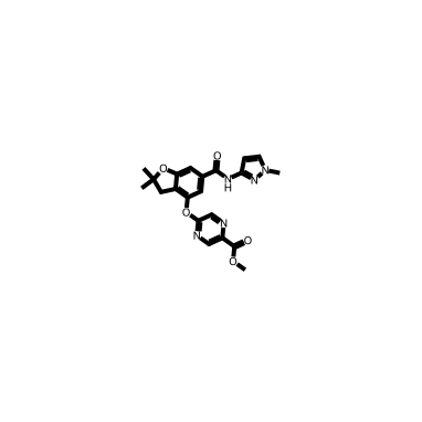 COC(=O)c1cnc(Oc2cc(C(=O)Nc3ccn(C)n3)cc3c2CC(C)(C)O3)cn1